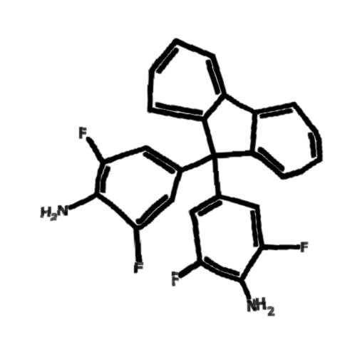 Nc1c(F)cc(C2(c3cc(F)c(N)c(F)c3)c3ccccc3-c3ccccc32)cc1F